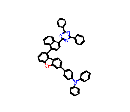 c1ccc(-c2nc(-c3ccccc3)nc(-c3ccc(-c4cccc5oc6cc(-c7ccc(N(c8ccccc8)c8ccccc8)cc7)ccc6c45)c4ccccc34)n2)cc1